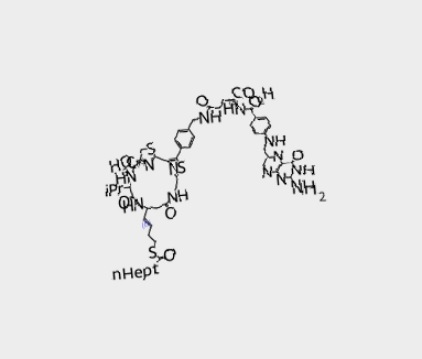 CCCCCCCC(=O)SCC/C=C/C1CC(=O)NCc2nc(c(-c3ccc(CNC(=O)CC[C@H](NC(=O)c4ccc(NCc5cnc6nc(N)[nH]c(=O)c6n5)cc4)C(=O)O)cc3)s2)C2=N[C@@](C)(CS2)C(=O)NC(C(C)C)C(=O)N1